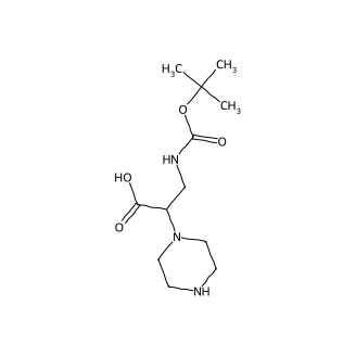 CC(C)(C)OC(=O)NCC(C(=O)O)N1CCNCC1